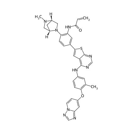 C=CC(=O)Nc1cc(-c2cc3c(Nc4ccc(Oc5ccn6ncnc6c5)c(C)c4)ncnc3s2)ccc1N1C[C@@H]2C[C@H]1CN2C